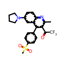 Cc1nc2ccc(N3CCCC3)cc2c(-c2ccc(S(C)(=O)=O)cc2)c1C(=O)C(F)(F)F